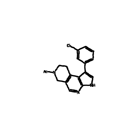 CC(=O)N1CCc2c(cnc3[nH]cc(-c4cccc(Cl)c4)c23)C1